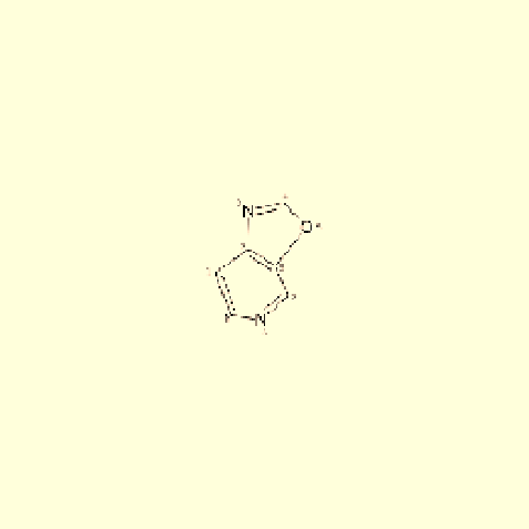 [c]1cc2ncoc2cn1